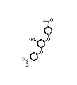 O=[N+]([O-])c1ccc(Oc2cc(O)cc(Oc3ccc([N+](=O)[O-])cc3)c2)cc1